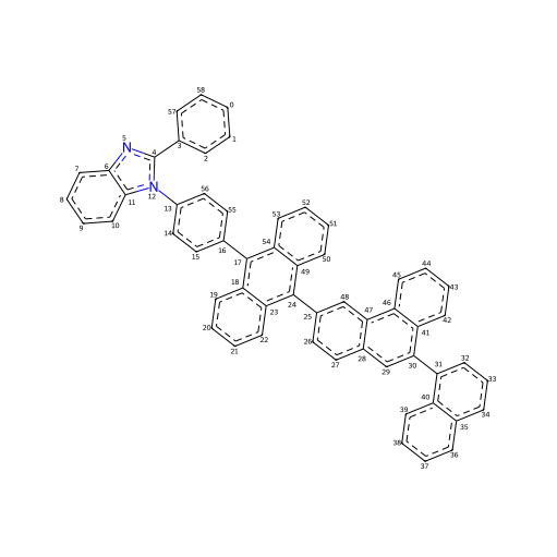 c1ccc(-c2nc3ccccc3n2-c2ccc(-c3c4ccccc4c(-c4ccc5cc(-c6cccc7ccccc67)c6ccccc6c5c4)c4ccccc34)cc2)cc1